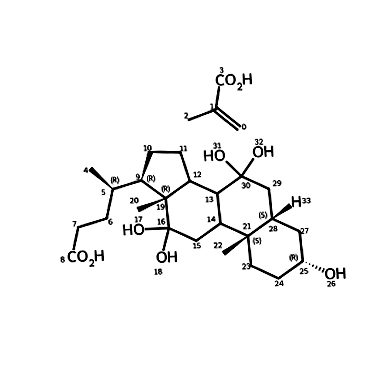 C=C(C)C(=O)O.C[C@H](CCC(=O)O)[C@H]1CCC2C3C(CC(O)(O)[C@@]21C)[C@@]1(C)CC[C@@H](O)C[C@H]1CC3(O)O